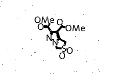 COC(=O)c1nn2c(c1C(=O)OC)CS(=O)(=O)C2